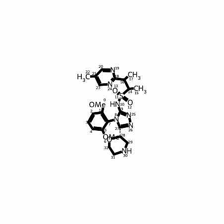 COc1cccc(OC)c1-n1c(NS(=O)(=O)C(C)C(C)c2ncc(C)cn2)nnc1[C@@H]1CNCCO1